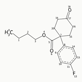 CCCCOC(=O)C1(c2ccc(F)cc2)CCC(=O)CC1